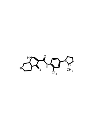 C[C@H]1CCCN1c1ccc(NC(=O)C2=CNC3CNCCC3C2=O)c(C(F)(F)F)c1